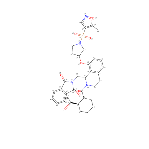 CNC(=O)[C@@H]1CCCCC1C(=O)N1CCc2cccc(OC3CCN(S(=O)(=O)c4cnoc4C)C3)c2[C@H]1CN1C(=O)c2ccccc2C1=O